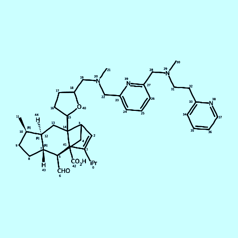 CC(C)C1=CC2CC3(C=O)[C@@H]4CC[C@@H](C)[C@H]4CC2(C2CCC(CN(C)Cc4cccc(CN(C)CCc5ccccn5)n4)O2)C13C(=O)O